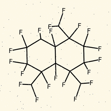 FC(F)C1(F)C(F)(F)C(F)(F)C(F)(C(F)F)C2(F)C(F)(C(F)F)C(F)(F)C(F)(F)C(F)C12F